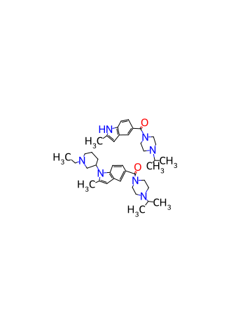 CCN1CCCC(n2c(C)cc3cc(C(=O)N4CCN(C(C)C)CC4)ccc32)C1.Cc1cc2cc(C(=O)N3CCN(C(C)C)CC3)ccc2[nH]1